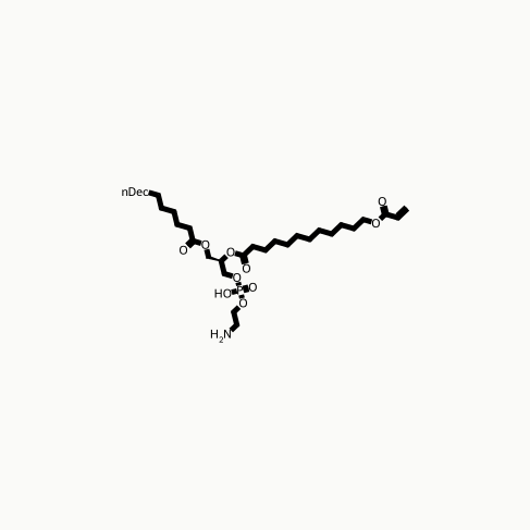 C=CC(=O)OCCCCCCCCCCCC(=O)O[C@H](COC(=O)CCCCCCCCCCCCCCC)COP(=O)(O)OCCN